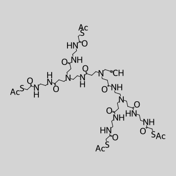 C#CCN(CCC(=O)NCCN(CCC(=O)NCCNC(=O)CSC(C)=O)CCC(=O)NCCNC(=O)CSC(C)=O)CCC(=O)NCCN(CCC(=O)NCCNC(=O)CSC(C)=O)CCC(=O)NCCNC(=O)CSC(C)=O